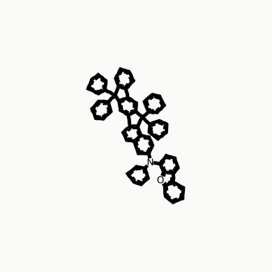 c1ccc(N(c2ccc3c4c(ccc3c2)-c2cc3c(cc2C4(c2ccccc2)c2ccccc2)-c2ccccc2C3(c2ccccc2)c2ccccc2)c2cccc3c2oc2ccccc23)cc1